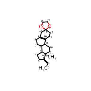 CC=C1CCC2C3CCC4=C(CCC5(C4)OCCO5)C3CC[C@@]12C